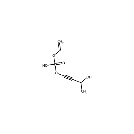 C=COP(=O)(O)OC#CC(C)O